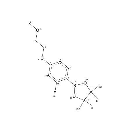 COCCOc1ccc(B2OC(C)(C)C(C)(C)O2)c(F)c1